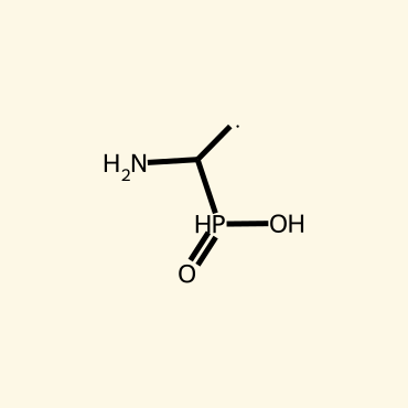 [CH2]C(N)[PH](=O)O